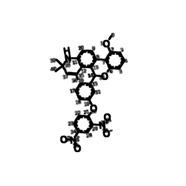 COc1cccc2c1-c1ccc3c(c1C(c1cccc(Oc4ccc([N+](=O)[O-])cc4[N+](=O)[O-])c1)O2)C(C)=CC(C)(C)N3